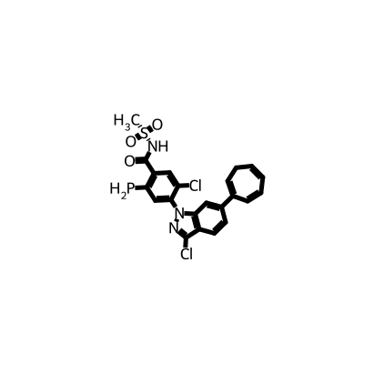 CS(=O)(=O)NC(=O)c1cc(Cl)c(-n2nc(Cl)c3ccc(C4=CCC=CC=C4)cc32)cc1P